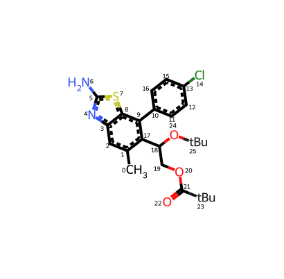 Cc1cc2nc(N)sc2c(-c2ccc(Cl)cc2)c1C(COC(=O)C(C)(C)C)OC(C)(C)C